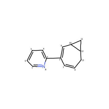 C1=CC(c2ccccn2)=CC2CC2C1